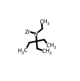 CC[N]([Zr])C(CC)(CC)CC